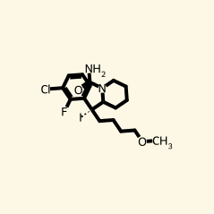 COCCCC[C@@](I)(c1cccc(Cl)c1F)C1CCCCN1C(N)=O